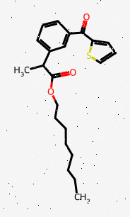 CCCCCCCCOC(=O)C(C)c1cccc(C(=O)c2cccs2)c1